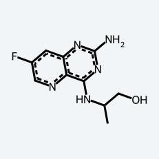 CC(CO)Nc1nc(N)nc2cc(F)cnc12